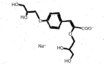 O=C([O-])C(=Cc1ccc(OCC(O)CO)cc1)OCC(O)CO.[Na+]